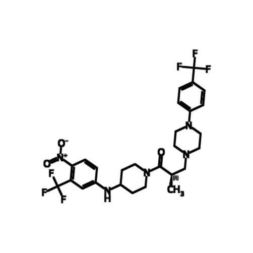 C[C@H](CN1CCN(c2ccc(C(F)(F)F)cc2)CC1)C(=O)N1CCC(Nc2ccc([N+](=O)[O-])c(C(F)(F)F)c2)CC1